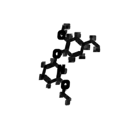 CCOc1cccc(Oc2ccc(CC)cc2OC)n1